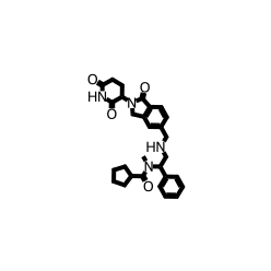 CN(C(=O)C1CCCC1)C(CNCc1ccc2c(c1)CN(C1CCC(=O)NC1=O)C2=O)c1ccccc1